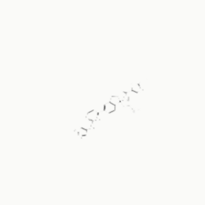 CC(C)CCC1(NC(=O)c2cnc(C(C)(C)C)s2)CCc2cc(-c3ccnc(Nc4cnn(C)c4)n3)ccc21